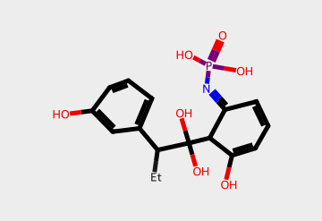 CCC(c1cccc(O)c1)C(O)(O)C1C(O)=CC=CC1=NP(=O)(O)O